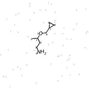 CC(CCN)OCC1CC1